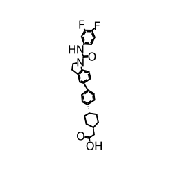 O=C(O)C[C@H]1CC[C@H](c2ccc(-c3ccc4c(c3)CCN4C(=O)Nc3ccc(F)c(F)c3)cc2)CC1